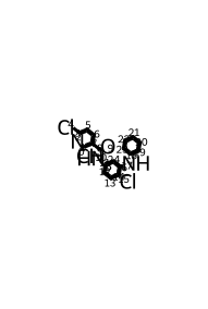 Cc1nc(Cl)ccc1C(=O)Nc1ccc(Cl)c(Nc2ccccc2)c1